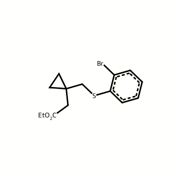 CCOC(=O)CC1(CSc2ccccc2Br)CC1